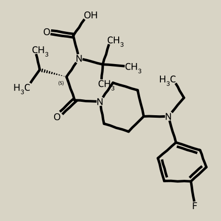 CCN(c1ccc(F)cc1)C1CCN(C(=O)[C@H](C(C)C)N(C(=O)O)C(C)(C)C)CC1